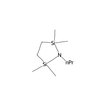 [CH2]CCN1[Si](C)(C)CC[Si]1(C)C